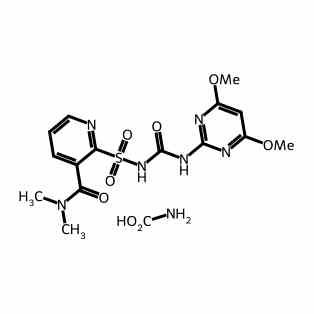 COc1cc(OC)nc(NC(=O)NS(=O)(=O)c2ncccc2C(=O)N(C)C)n1.NC(=O)O